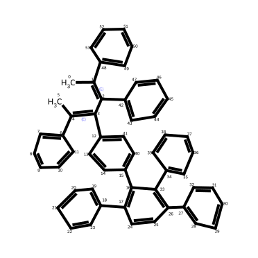 C/C(=C(\C(=C(/C)c1ccccc1)c1ccc(-c2c(-c3ccccc3)ccc(-c3ccccc3)c2-c2ccccc2)cc1)c1ccccc1)c1ccccc1